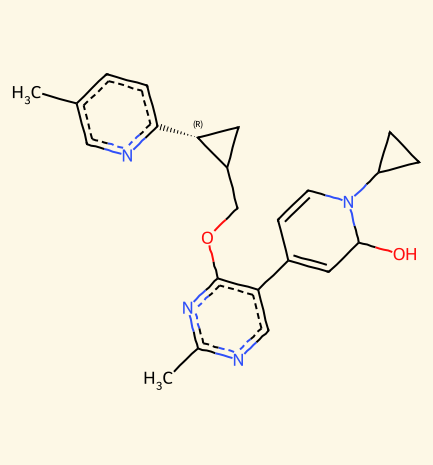 Cc1ccc([C@@H]2CC2COc2nc(C)ncc2C2=CC(O)N(C3CC3)C=C2)nc1